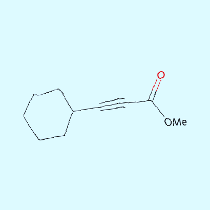 COC(=O)C#CC1CCCCC1